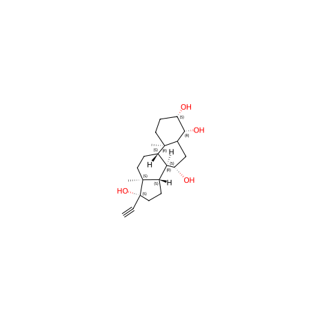 C#C[C@]1(O)CC[C@H]2[C@@H]3[C@@H](O)CC4[C@@H](O)[C@@H](O)CC[C@]4(C)[C@H]3CC[C@@]21C